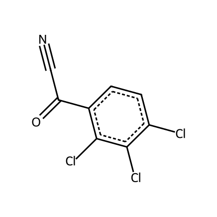 N#CC(=O)c1ccc(Cl)c(Cl)c1Cl